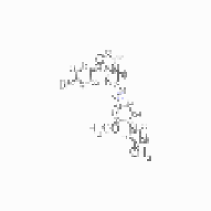 COc1cc(/C=C/c2nc3n(n2)CCO[C@@H]3c2ccc(Br)cc2)ccc1-n1cnc(C)c1